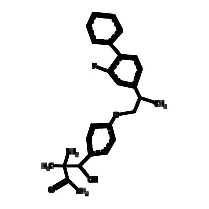 CC(COc1ccc(C(O)C(C)(N)C(N)=O)cc1)c1ccc(-c2ccccc2)c(F)c1